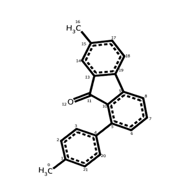 Cc1ccc(-c2cccc3c2C(=O)c2cc(C)ccc2-3)cc1